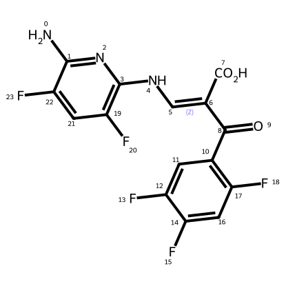 Nc1nc(N/C=C(\C(=O)O)C(=O)c2cc(F)c(F)cc2F)c(F)cc1F